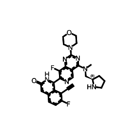 C#Cc1c(F)ccc2cc(=O)[nH]c(-c3ncc4c(N(C)C[C@H]5CCCN5)nc(N5CCOCC5)nc4c3F)c12